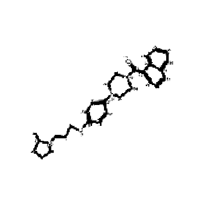 CC1CCCN1CCCOc1ccc(N2CCN(C(=O)c3cccc4ccccc34)CC2)cc1